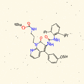 COc1cccc(-c2c(NC(=O)Nc3c(C(C)C)cccc3C(C)C)c(=O)n(CCCNC(=O)OC(C)(C)C)c3ncccc23)c1